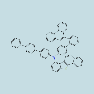 c1ccc(-c2ccc(-c3ccc(N(c4ccc(-c5ccccc5-c5cc6ccccc6c6ccccc56)cc4)c4cccc5sc6c7ccccc7ccc6c45)cc3)cc2)cc1